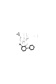 O=C(O)CNC(=O)N(CCC1CC1)C(=O)c1cccc(-c2ccccc2)c1